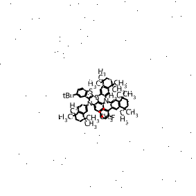 Cc1cc2c3c(c1)N(c1ccc4c(c1)C(C)(C)CCC4(C)C)c1c(sc4ccc(C(C)(C)C)cc14)B3c1cc3c(cc1N2c1cc2c(cc1-c1ccccc1F)C(C)(C)CCC2(C)C)C(C)(C)CCC3(C)C